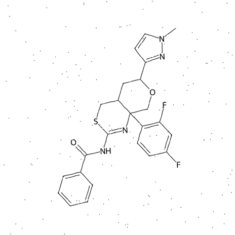 Cn1ccc(C2CC3CSC(NC(=O)c4ccccc4)=NC3(c3ccc(F)cc3F)CO2)n1